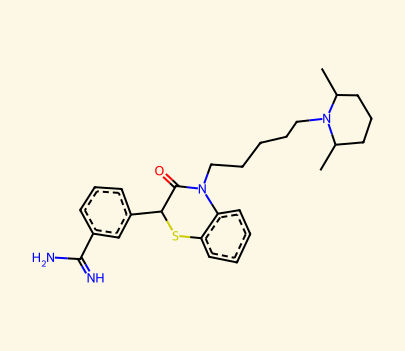 CC1CCCC(C)N1CCCCCN1C(=O)C(c2cccc(C(=N)N)c2)Sc2ccccc21